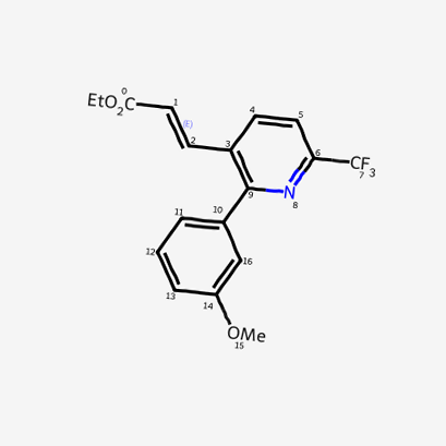 CCOC(=O)/C=C/c1ccc(C(F)(F)F)nc1-c1cccc(OC)c1